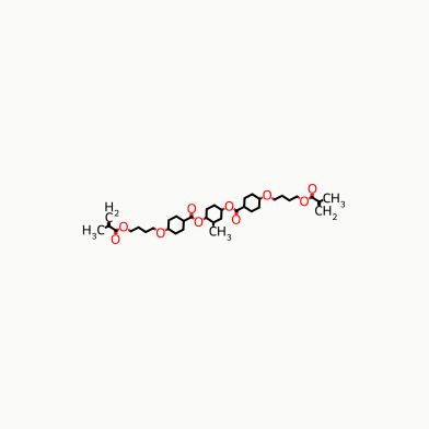 C=C(C)C(=O)OCCCCOC1CCC(C(=O)OC2CCC(OC(=O)C3CCC(OCCCCOC(=O)C(=C)C)CC3)C(C)C2)CC1